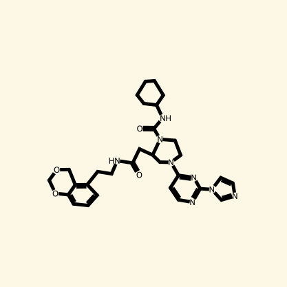 O=C(CC1CN(c2ccnc(-n3ccnc3)n2)CCN1C(=O)NC1CCCCC1)NCCc1cccc2c1COCO2